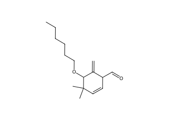 C=C1C(C=O)C=CC(C)(C)C1OCCCCCC